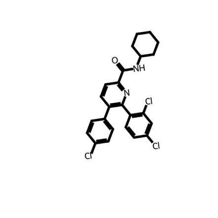 O=C(NC1CCCCC1)c1ccc(-c2ccc(Cl)cc2)c(-c2ccc(Cl)cc2Cl)n1